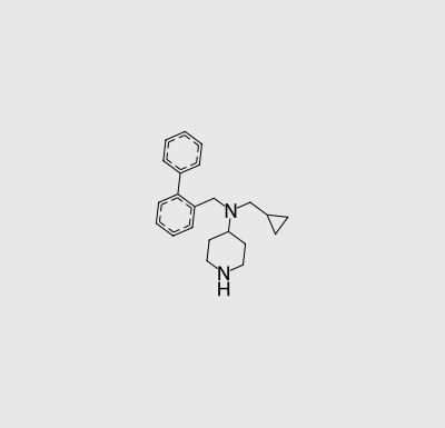 c1ccc(-c2ccccc2CN(CC2CC2)C2CCNCC2)cc1